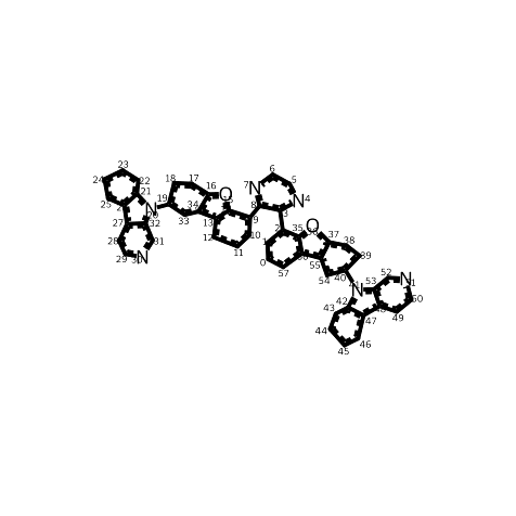 c1cc(-c2nccnc2-c2cccc3c2oc2ccc(-n4c5ccccc5c5ccncc54)cc23)c2oc3ccc(-n4c5ccccc5c5ccncc54)cc3c2c1